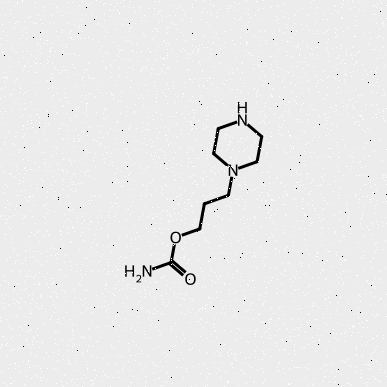 NC(=O)OCCCN1CCNCC1